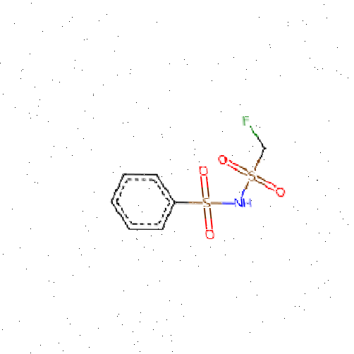 O=S(=O)(CF)NS(=O)(=O)c1ccccc1